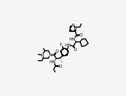 CCC(=O)N[C@@H](C(=O)N1CC(C)N(C)C(CC)C1)[C@@H](C)c1ccc(NC(=O)[C@@H](NC(=O)c2ccnn2CC)C2CCCCC2)c(F)c1